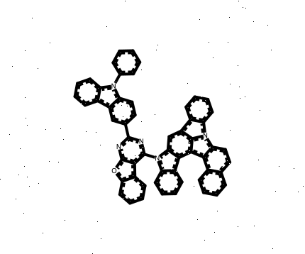 c1ccc(-n2c3ccccc3c3cc(-c4nc(-n5c6ccccc6c6c7c8c9ccccc9ccc8n8c9ccccc9c(cc65)c78)c5c(n4)oc4ccccc45)ccc32)cc1